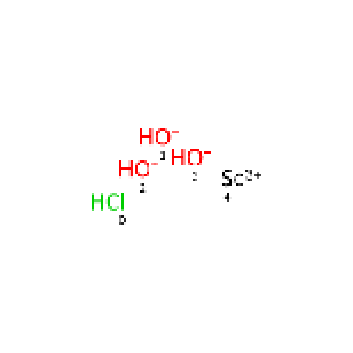 Cl.[OH-].[OH-].[OH-].[Sc+3]